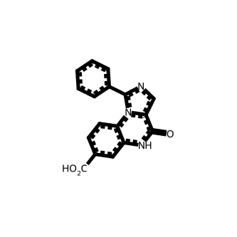 O=C(O)c1ccc2c(c1)[nH]c(=O)c1cnc(-c3ccccc3)n12